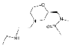 CCNCCN1CCO[C@@H](CN(C)C(C)=O)C1